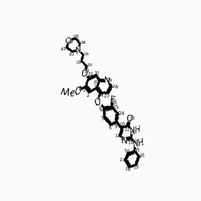 COc1cc2c(Oc3ccc(-c4cnc(Nc5ccccc5)[nH]c4=O)cc3F)ccnc2cc1OCCCN1CCOCC1